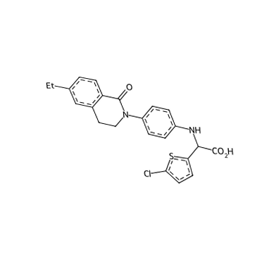 CCc1ccc2c(c1)CCN(c1ccc(NC(C(=O)O)c3ccc(Cl)s3)cc1)C2=O